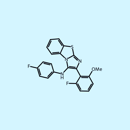 COc1cccc(F)c1-c1nc2sc3ccccc3n2c1Nc1ccc(F)cc1